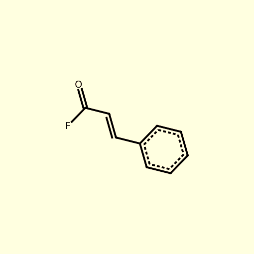 O=C(F)C=Cc1ccccc1